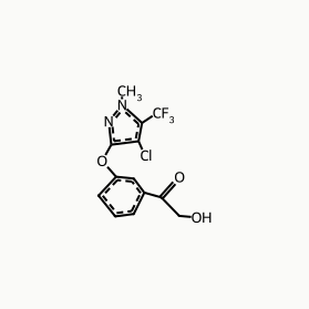 Cn1nc(Oc2cccc(C(=O)CO)c2)c(Cl)c1C(F)(F)F